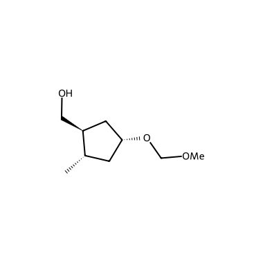 COCO[C@H]1C[C@H](CO)[C@@H](C)C1